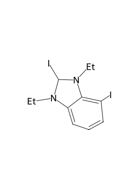 CCN1c2cccc(I)c2N(CC)C1I